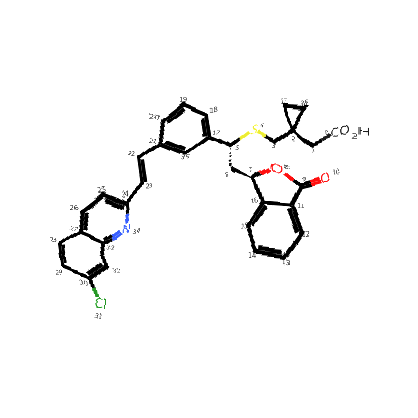 O=C(O)CC1(CS[C@H](C[C@H]2OC(=O)c3ccccc32)c2cccc(/C=C/c3ccc4ccc(Cl)cc4n3)c2)CC1